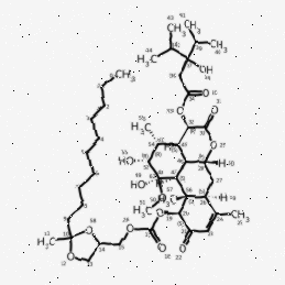 CCCCCCCCCCC1(C)OCC(COC(=O)O[C@@H]2C(=O)C=C(C)[C@@H]3C[C@H]4OC(=O)[C@H](OC(=O)CC(O)(C(C)C)C(C)C)[C@@H]5C4[C@H]([C@@](O)(OC)[C@H](O)[C@@H]5C)[C@@]23C)O1